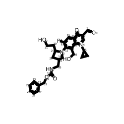 O=Cc1cn(C2CC2)c2c(CO)c(N3CC(CNC(=O)OCc4ccccc4)CC3CCO)c(F)cc2c1=O